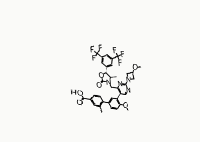 COc1ccc(-c2ccc(C(=O)O)cc2C)cc1-c1cnc(N2CC(OC)C2)nc1CN1C(=O)O[C@H](c2cc(C(F)(F)F)cc(C(F)(F)F)c2)C1C